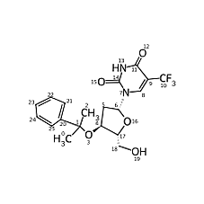 CC(C)(O[C@H]1C[C@H](n2cc(C(F)(F)F)c(=O)[nH]c2=O)O[C@@H]1CO)c1ccccc1